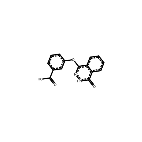 O=C(O)c1cccc(Oc2n[nH]c(=O)c3ccccc23)c1